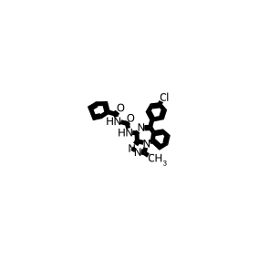 Cc1nnc2n1-c1ccccc1C(c1ccc(Cl)cc1)=NC2NC(=O)NC(=O)c1ccccc1